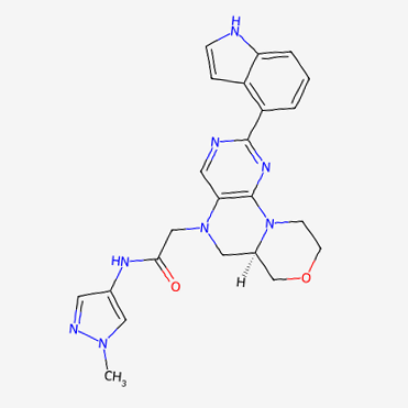 Cn1cc(NC(=O)CN2C[C@@H]3COCCN3c3nc(-c4cccc5[nH]ccc45)ncc32)cn1